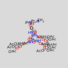 C=NCCCOP(Oc1ccc(C(=O)NC(CCC(=O)N(CC(=O)NCCOCCOC2OC(COC(C)=O)C(OC(C)=O)C(OC(C)=O)C2NC(C)=O)CC(=O)NCCOCCOC2OC(COC(C)=O)C(OC(C)=O)C(OC(C)=O)C2NC(C)=O)C(=O)NCCOCCOC2OC(COC(C)=O)C(OC(C)=O)C(OC(C)=O)C2NC(C)=O)cc1)N(C(C)C)C(C)C